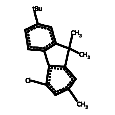 Cc1cc(Cl)c2c(c1)C(C)(C)c1cc(C(C)(C)C)ccc1-2